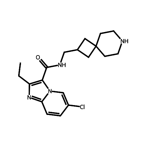 CCc1nc2ccc(Cl)cn2c1C(=O)NCC1CC2(CCNCC2)C1